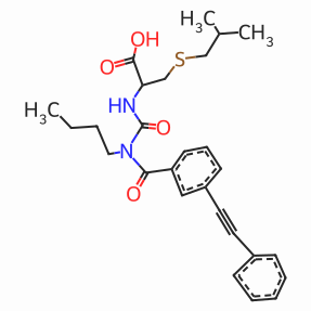 CCCCN(C(=O)NC(CSCC(C)C)C(=O)O)C(=O)c1cccc(C#Cc2ccccc2)c1